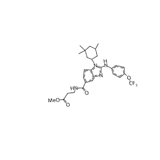 COC(=O)CCNC(=O)c1ccc2c(c1)nc(Nc1ccc(OC(F)(F)F)cc1)n2C1CC(C)CC(C)(C)C1